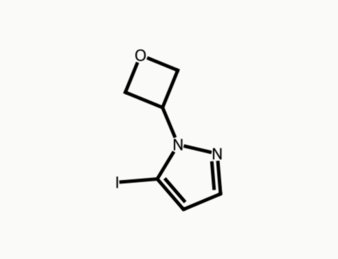 Ic1ccnn1C1COC1